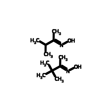 C/C(=N\O)C(C)(C)C.C/C(=N\O)C(C)C